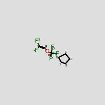 C1CCCC1.FC(F)=COC(F)(F)F